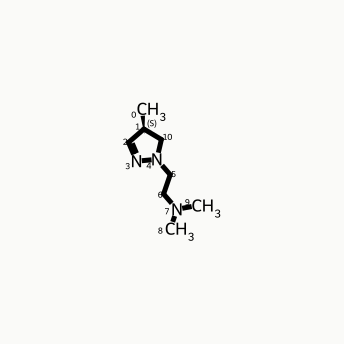 C[C@@H]1C=NN(CCN(C)C)C1